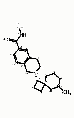 CN1CCC[C@]2(CC[C@@H]2N2CCc3cc(C(=O)NO)cnc3C2)C1